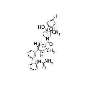 CC(NC(=O)c1cccc(-c2ccccc2NC(N)=O)c1)[C@@H](C)C(=O)N1CC[C@](O)(c2ccc(Cl)cc2)C(C)(C)C1